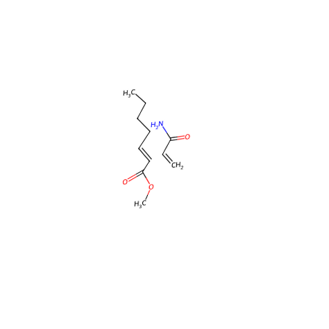 C=CC(N)=O.CCCCC=CC(=O)OC